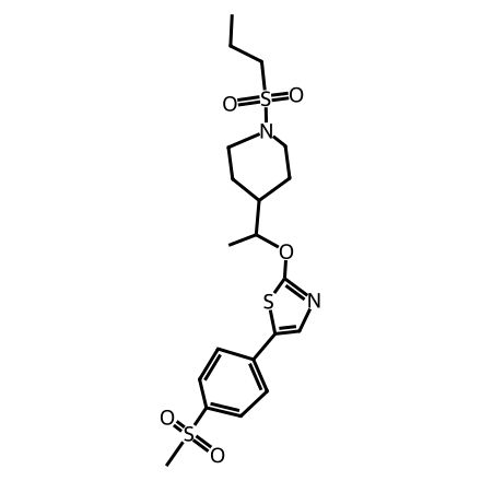 CCCS(=O)(=O)N1CCC(C(C)Oc2ncc(-c3ccc(S(C)(=O)=O)cc3)s2)CC1